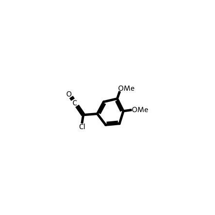 COc1ccc(C(Cl)=C=O)cc1OC